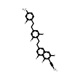 Cc1ccc(CCc2cc(F)c(CCc3cc(F)c4c(F)c(C#CC(F)(F)F)c(F)cc4c3)c(F)c2)c(F)c1